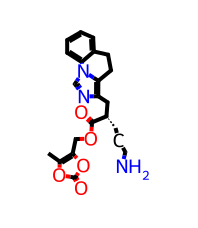 Cc1oc(=O)oc1COC(=O)[C@@H](CCCN)Cc1ncn2c1CCc1ccccc1-2